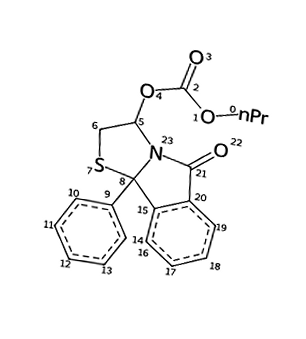 CCCOC(=O)OC1CSC2(c3ccccc3)c3ccccc3C(=O)N12